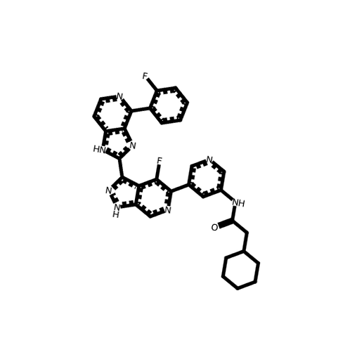 O=C(CC1CCCCC1)Nc1cncc(-c2ncc3[nH]nc(-c4nc5c(-c6ccccc6F)nccc5[nH]4)c3c2F)c1